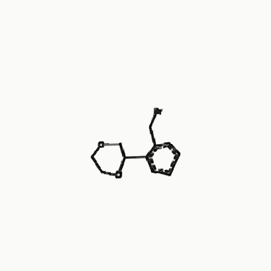 BrCc1ccccc1C1COCCO1